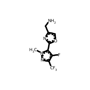 Cn1nc(C(F)(F)F)c(F)c1-c1nc(CN)co1